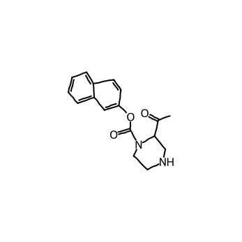 CC(=O)C1CNCCN1C(=O)Oc1ccc2ccccc2c1